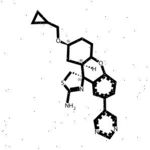 NC1=N[C@]2(CS1)c1cc(-c3cncnc3)ccc1OC1CC[C@H](OCC3CC3)C[C@@H]12